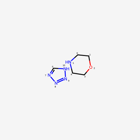 C1COCCN1.c1nnn[nH]1